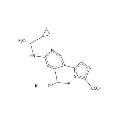 O=C(O)c1ncc(-c2cnc(N[C@@H](C3CC3)C(F)(F)F)cc2C(F)F)s1.[K]